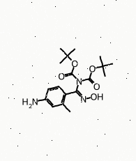 Cc1cc(N)ccc1C(=NO)N(C(=O)OC(C)(C)C)C(=O)OC(C)(C)C